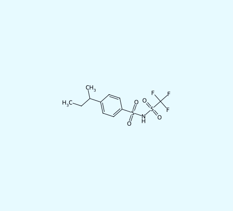 CCC(C)c1ccc(S(=O)(=O)NS(=O)(=O)C(F)(F)F)cc1